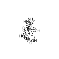 CCc1oc(CC(NC(=O)C(C)NC(=O)C(CO)NC(=O)C(CC2=CCN(C(=N)N)C2)NC(=O)C(N)C(C)O)C(=O)O)cc1C(=O)O